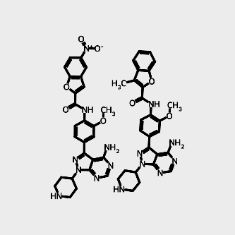 COc1cc(-c2nn(C3CCNCC3)c3ncnc(N)c23)ccc1NC(=O)c1cc2cc([N+](=O)[O-])ccc2o1.COc1cc(-c2nn(C3CCNCC3)c3ncnc(N)c23)ccc1NC(=O)c1oc2ccccc2c1C